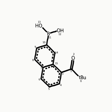 CC(C)(C)C(=O)c1cccc2ccc(B(O)O)cc12